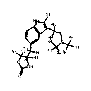 [2H]c1[nH]c2ccc(C([2H])([2H])[C@]3([2H])NC(=O)OC3([2H])[2H])cc2c1C([2H])([2H])CN(C([2H])([2H])[2H])C([2H])([2H])[2H]